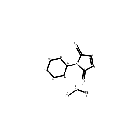 CCOCC.O=C1C=CC(=O)N1C1CCCCC1